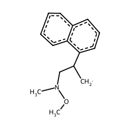 [CH2]C(CN(C)OC)c1cccc2ccccc12